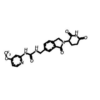 O=C1CCC(N2Cc3ccc(CNC(=O)Nc4cc(OC(F)(F)F)ccn4)cc3C2=O)C(=O)N1